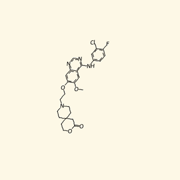 COc1cc2c(Nc3ccc(F)c(Cl)c3)ncnc2cc1OCCN1CCC2(CCOC(=O)C2)CC1